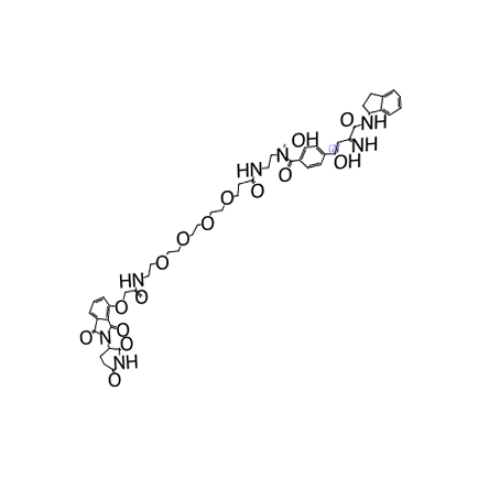 CN(CCNC(=O)CCOCCOCCOCCOCCNC(=O)COc1cccc2c1C(=O)N(C1CCC(=O)NC1=O)C2=O)C(=O)c1ccc(/C(O)=C/C(=N)C(=O)NC2CCc3ccccc32)cc1O